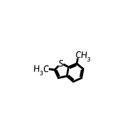 Cc1cc2cccc(C)c2s1